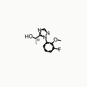 COc1c(F)cccc1-n1ncnc1[C@H](C)O